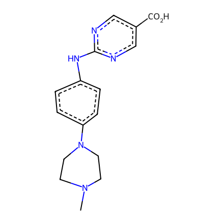 CN1CCN(c2ccc(Nc3ncc(C(=O)O)cn3)cc2)CC1